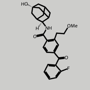 COCCc1cc(C(=O)c2ccccc2F)ccc1C(=O)N[C@H]1C2CC3CC1C[C@](O)(C3)C2